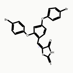 O=C1NC(=S)S/C1=C/c1ccc(Oc2ccc(Br)cc2)cc1Oc1ccc(Br)cc1